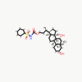 CC[C@H]1[C@@H](O)[C@@H]2[C@H](CC[C@]3(C)[C@@H]([C@H](C)CCOC(=O)NS(=O)(=O)C4CCCCC4)CC[C@@H]23)[C@@]2(C)CC[C@@H](O)C[C@@H]12